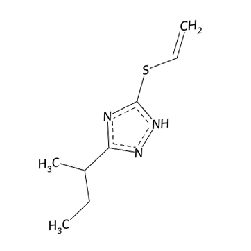 C=CSc1nc(C(C)CC)n[nH]1